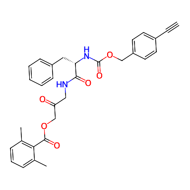 C#Cc1ccc(COC(=O)N[C@@H](Cc2ccccc2)C(=O)NCC(=O)COC(=O)c2c(C)cccc2C)cc1